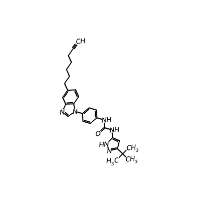 C#CCCCCCc1ccc2c(c1)ncn2-c1ccc(NC(=O)Nc2cc(C(C)(C)C)n[nH]2)cc1